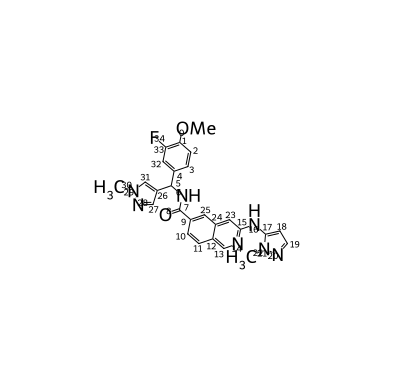 COc1ccc(C(NC(=O)c2ccc3cnc(Nc4ccnn4C)cc3c2)c2cnn(C)c2)cc1F